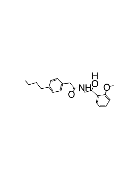 CCCCc1ccc(CC(=O)NCC(O)c2ccccc2OC)cc1